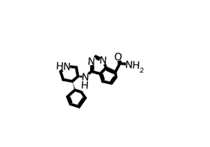 NC(=O)c1cccc2c(N[C@@H]3CNCC[C@H]3C3C=CC=CC3)ncnc12